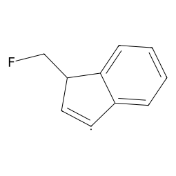 FCC1C=[C]c2ccccc21